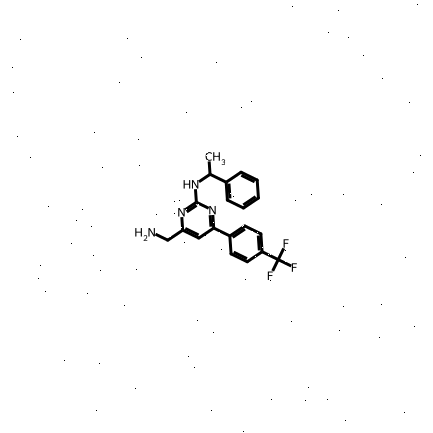 CC(Nc1nc(CN)cc(-c2ccc(C(F)(F)F)cc2)n1)c1ccccc1